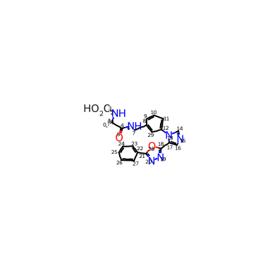 C[C@H](NC(=O)O)C(=O)NCc1cccc(-n2cncc2-c2nnc(-c3ccccc3)o2)c1